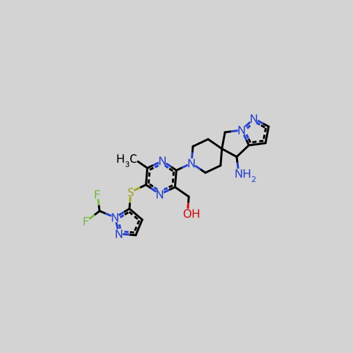 Cc1nc(N2CCC3(CC2)Cn2nccc2C3N)c(CO)nc1Sc1ccnn1C(F)F